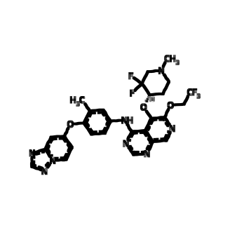 Cc1cc(Nc2ncnc3cnc(OCC(F)(F)F)c(O[C@H]4CCN(C)CC4(F)F)c23)ccc1Oc1ccn2ncnc2c1